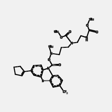 CC(C)(C)OC(=O)NCCN(CCCN(OC(=O)N1c2ccc(C3=CCCC3)cc2Sc2cc(C(F)(F)F)ccc21)C(C)(C)C)C(=O)OC(C)(C)C